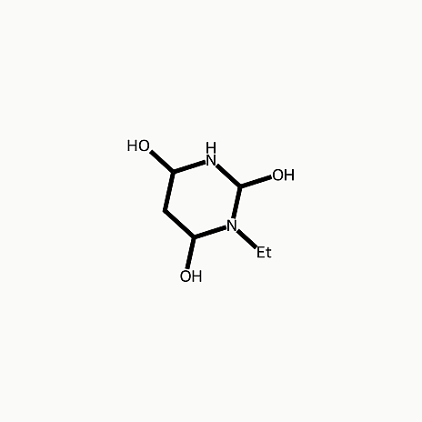 CCN1C(O)CC(O)NC1O